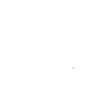 [N-]=[N+]=NS(=O)(=O)N=[N+]=[N-].[N-]=[N+]=NS(=O)(=O)c1cccc(C(=O)O)c1